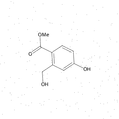 COC(=O)c1ccc(O)cc1CO